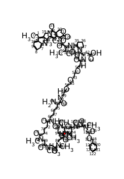 CCc1c2c(nc3ccccc13)-c1cc3c(c(=O)n1C2)COC(=O)[C@@]3(CC)OC(=O)[C@@H](NC(=O)[C@@H]1CCCN1C(=O)[C@H](CC(=O)O)NC(=O)CCOCCOCCOCCNC(=O)[C@@H](N)CCCCNC(=O)CCCC(=O)N(C)CC(=O)N(C)CC(=O)N(C)CC(=O)N(C)CC(=O)N(C)CC(=O)N(C)CC(=O)N(C)CC(=O)N(C)CC(=O)OCc1ccccc1)C(C)C